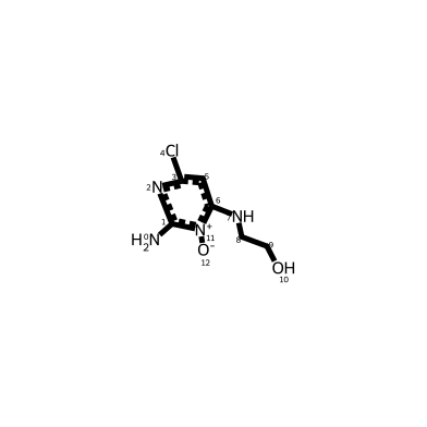 Nc1nc(Cl)cc(NCCO)[n+]1[O-]